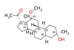 CO[C@@H]1C[C@H]2[C@@H](CC[C@@H]3C[C@](C)(O)CC[C@@H]32)[C@@H]2CC[C@H](C(C)=O)[C@@]12C